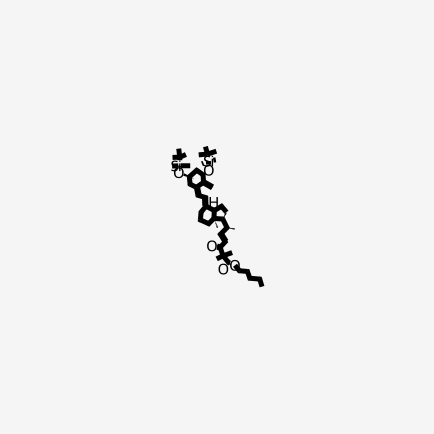 C=C1/C(=C\C=C2/CCC[C@]3(C)[C@@H]([C@H](C)/C=C/C(=O)C(C)(C)C(=O)OCCCCC)CC[C@@H]23)C[C@@H](O[Si](C)(C)C(C)(C)C)C[C@@H]1O[Si](C)(C)C(C)(C)C